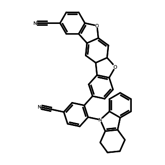 N#Cc1ccc(-n2c3c(c4ccccc42)CCCC3)c(-c2ccc3c(c2)C2C=c4c(oc5ccc(C#N)cc45)=CC2O3)c1